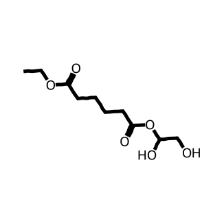 CCOC(=O)CCCCC(=O)OC(O)CO